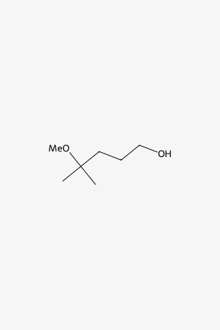 COC(C)(C)CCCO